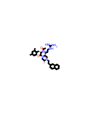 CC(=O)N[C@@H](Cc1ccc(C)cc1C)C(=O)N1C[C@@H](C)N(CCc2ccc3ccccc3c2)C[C@@H]1CCCNC(=N)N